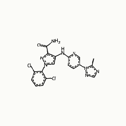 Cc1ncnn1-c1ccc(Nc2cn(-c3c(Cl)cccc3Cl)nc2C(N)=O)nc1